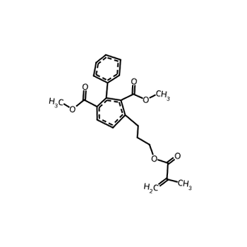 C=C(C)C(=O)OCCCc1ccc(C(=O)OC)c(-c2ccccc2)c1C(=O)OC